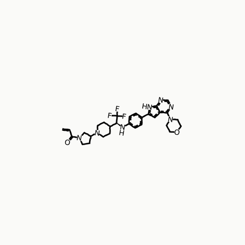 C=CC(=O)N1CCC(N2CCC([C@H](Nc3ccc(-c4cc5c(N6CCOCC6)ncnc5[nH]4)cc3)C(F)(F)F)CC2)C1